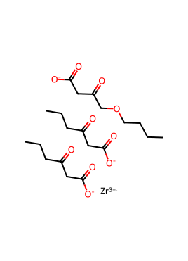 CCCC(=O)CC(=O)[O-].CCCC(=O)CC(=O)[O-].CCCCOCC(=O)CC(=O)[O-].[Zr+3]